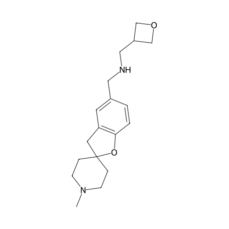 CN1CCC2(CC1)Cc1cc(CNCC3COC3)ccc1O2